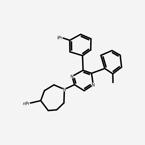 CCCC1CCCN(c2cnc(-c3ccccc3C)c(-c3cccc(C(C)C)c3)n2)CC1